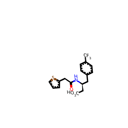 O=C(O)C[C@H](Cc1ccc(C(F)(F)F)cc1)NC(=O)Cc1cccs1